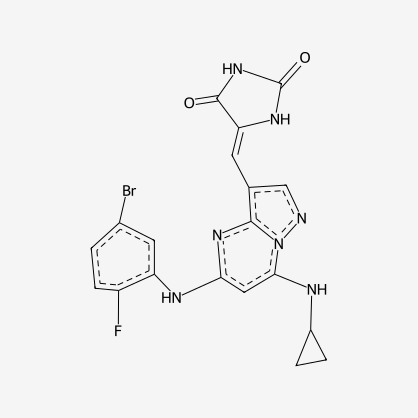 O=C1NC(=O)/C(=C/c2cnn3c(NC4CC4)cc(Nc4cc(Br)ccc4F)nc23)N1